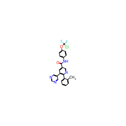 Cc1ccccc1-c1ncc(C(=O)Nc2ccc(OC(F)(F)Cl)cc2)cc1-c1cncnc1